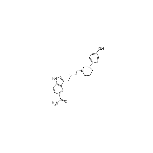 NC(=O)c1ccc2[nH]cc(CSCCN3CCCC(c4ccc(O)cc4)C3)c2c1